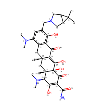 CN(C)c1cc(CN2CC3C(C2)C3(C)C)c(O)c2c1C[C@H]1C[C@H]3[C@H](N(C)C)C(O)=C(C(N)=O)C(=O)[C@@]3(O)C(O)=C1C2=O